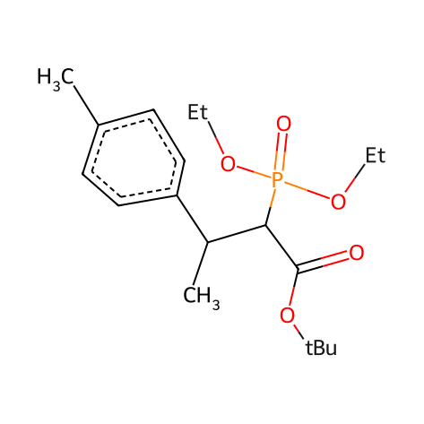 CCOP(=O)(OCC)C(C(=O)OC(C)(C)C)C(C)c1ccc(C)cc1